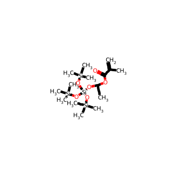 C=C(C)C(=O)OC(C)O[Si](O[Si](C)(C)C)(O[Si](C)(C)C)O[Si](C)(C)C